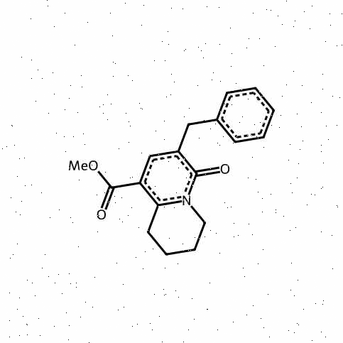 COC(=O)c1cc(Cc2ccccc2)c(=O)n2c1CCCC2